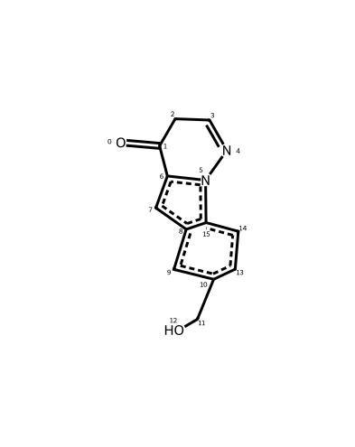 O=C1CC=Nn2c1cc1cc(CO)ccc12